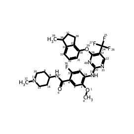 COc1cc(C(=O)NC2CCN(C)CC2)c(F)cc1Nc1ncc(C(F)(F)F)c(Oc2cccc3c2CCC3C)n1